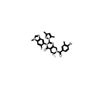 Cc1cc(C)n(-c2nc3c(c(=O)n2-c2cc4ncn(C)c4cc2F)C[C@@H](C)N(C(=O)c2ccc(Br)c(C)c2)C3)n1